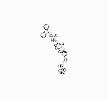 COC(=O)[C@H](Cc1ccc(OCCNC(=O)OC(C)(C)C)cc1)NC(=O)CNC(=O)OCC1c2ccccc2-c2ccccc21